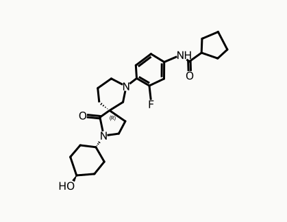 O=C(Nc1ccc(N2CCC[C@@]3(CCN([C@H]4CC[C@H](O)CC4)C3=O)C2)c(F)c1)C1CCCC1